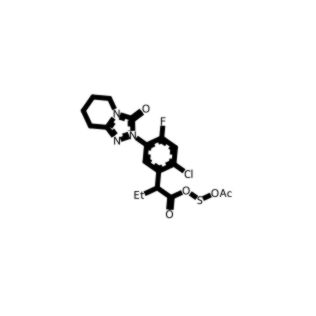 CCC(C(=O)OSOC(C)=O)c1cc(-n2nc3n(c2=O)CCCC3)c(F)cc1Cl